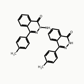 Cc1ccc(-c2n[nH]c(=O)c3ccccc23)cc1.Cc1ccc(-c2nn(N)c(=O)c3ccccc23)cc1